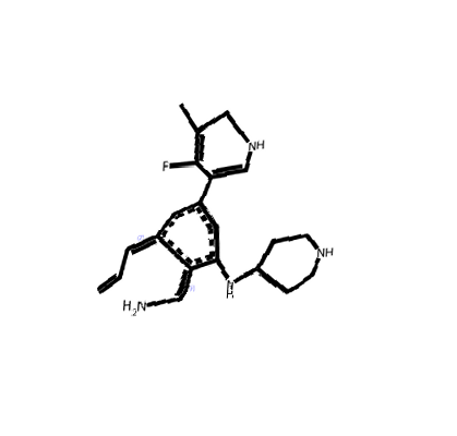 C=C/C=c1/cc(C2=CNCC(C)=C2F)cc(NC2CCNCC2)/c1=C/N